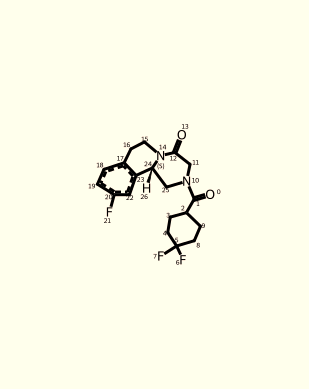 O=C(C1CCC(F)(F)CC1)N1CC(=O)N2CCc3ccc(F)cc3[C@H]2C1